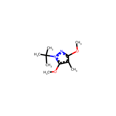 COc1nn(C(C)(C)C)c(OC)c1C